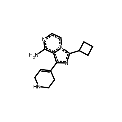 Nc1nccn2c(C3CCC3)nc(C3=CCNCC3)c12